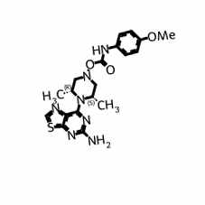 COc1ccc(NC(=O)ON2C[C@@H](C)N(c3nc(N)nc4scnc34)[C@@H](C)C2)cc1